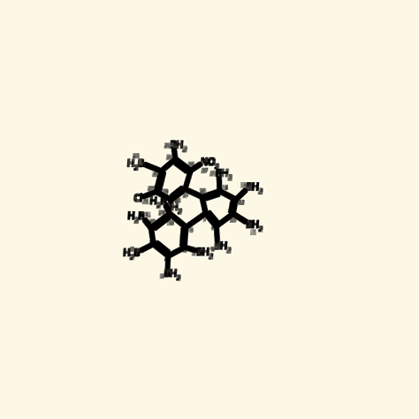 Bc1c(B)c(B)c(-c2c(B)c(B)c(B)c(B)c2-c2c(B)c(Cl)c(B)c(B)c2[N+](=O)[O-])c(B)c1B